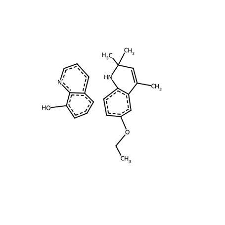 CCOc1ccc2c(c1)C(C)=CC(C)(C)N2.Oc1cccc2cccnc12